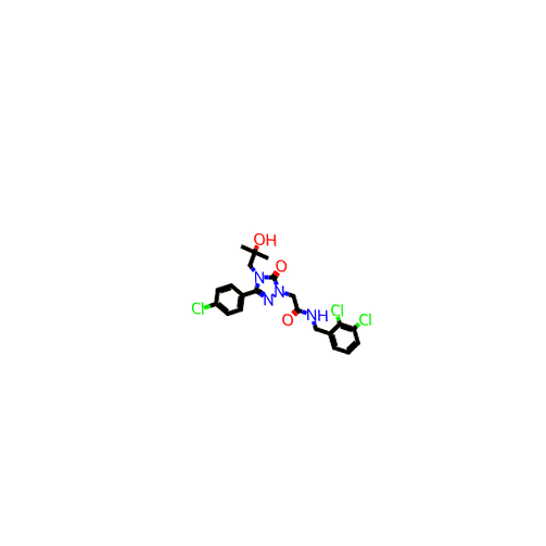 CC(C)(O)Cn1c(-c2ccc(Cl)cc2)nn(CC(=O)NCc2cccc(Cl)c2Cl)c1=O